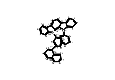 c1ccc(-n2c3ccccc3c3ccc4c5ccccc5n(-c5cccc(-c6cccc7ccccc67)c5)c4c32)cc1